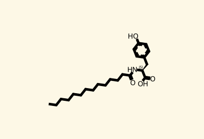 CCCCCCCCCCCCCC(=O)N[C@@H](Cc1ccc(O)cc1)C(=O)O